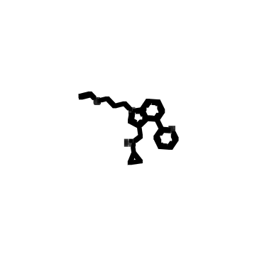 C=COCCCn1cc(CNC2CC2)c2c(-c3ccccn3)cccc21